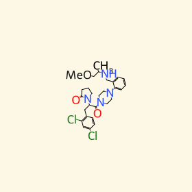 COCC(C)NCc1ccccc1N1CCN(C(=O)C(Cc2ccc(Cl)cc2Cl)N2CCCC2=O)CC1